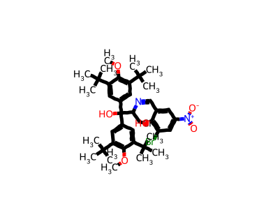 CCC(N=Cc1cc([N+](=O)[O-])cc(Br)c1O)C(O)(c1cc(C(C)(C)C)c(OC)c(C(C)(C)C)c1)c1cc(C(C)(C)C)c(OC)c(C(C)(C)C)c1